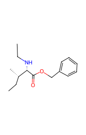 CCN[C@H](C(=O)OCc1ccccc1)[C@@H](C)CC